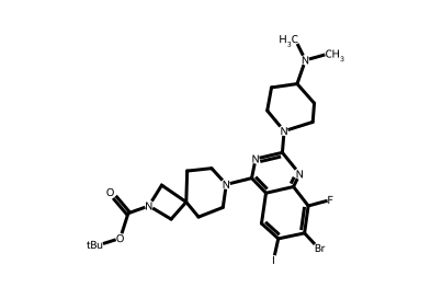 CN(C)C1CCN(c2nc(N3CCC4(CC3)CN(C(=O)OC(C)(C)C)C4)c3cc(I)c(Br)c(F)c3n2)CC1